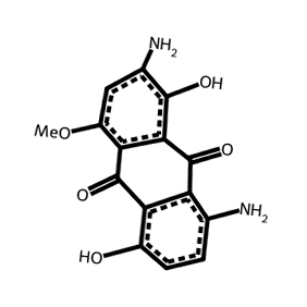 COc1cc(N)c(O)c2c1C(=O)c1c(O)ccc(N)c1C2=O